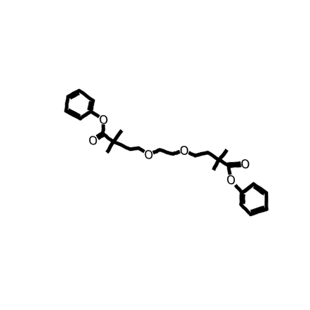 CC(C)(CCOCCOCCC(C)(C)C(=O)Oc1ccccc1)C(=O)Oc1ccccc1